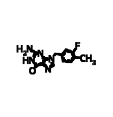 Cc1ccc(Cn2cnc3c(=O)[nH]c(N)nc32)cc1F